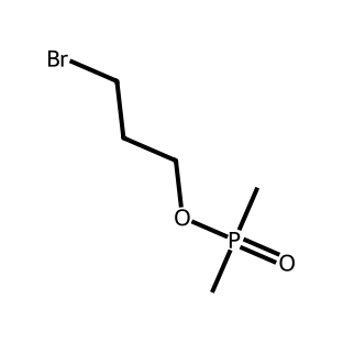 CP(C)(=O)OCCCBr